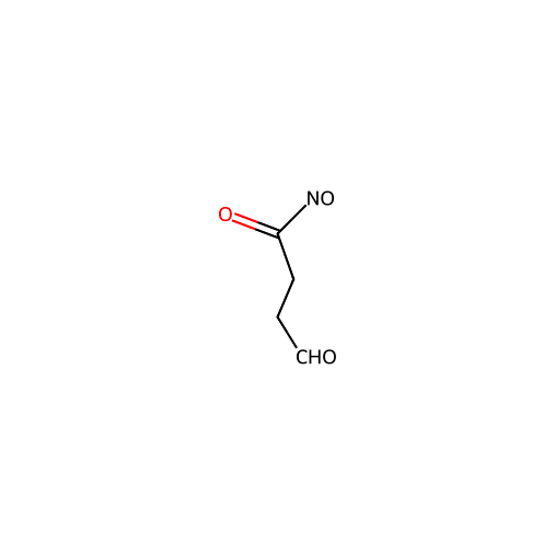 O=CCCC(=O)N=O